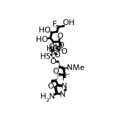 CN[C@@H]1[C@@H](COP(=O)(S)OP(=O)(O)OC2OC([C@@H](F)CO)C(O)C(O)C2O)O[C@@H](c2coc3c(N)ncnc23)[C@]1(C)F